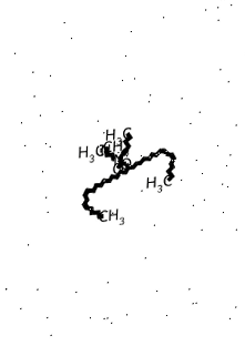 CCCCC#CN(CCCN(C)C)C(=O)OC(CCCCCCC/C=C\C/C=C\CCCCC)CCCCCCCCC/C=C\C/C=C\CCCCC